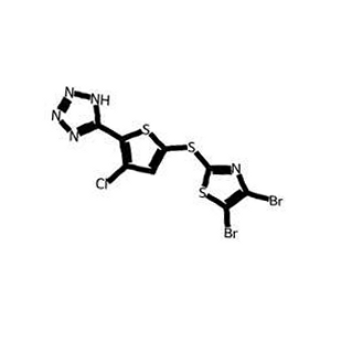 Clc1cc(Sc2nc(Br)c(Br)s2)sc1-c1nnn[nH]1